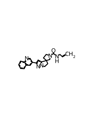 C=CCNC(=O)N1CCC2(CCn3nc(-c4cnc5ccccc5c4)cc32)C1